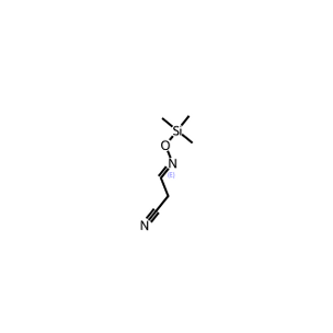 C[Si](C)(C)O/N=C/CC#N